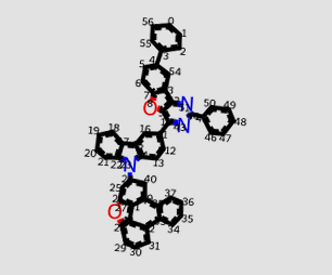 c1ccc(-c2ccc3oc4c(-c5ccc6c(c5)c5ccccc5n6-c5cc6oc7cccc8c9ccccc9c(c5)c6c78)nc(-c5ccccc5)nc4c3c2)cc1